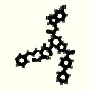 CNC(=O)[C@H](CCCc1ccccc1)NC(=O)C1CN(C(=O)Cc2c[nH]c3cc(Cl)ccc23)CC2CN(C(=O)c3ccc(-c4cncnc4)cc3)CC21